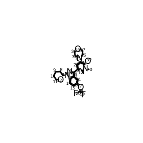 Cn1nc(-c2nn(C3CCCCO3)c3ccc(OC(F)F)cc23)cc(N2CCOCC2)c1=O